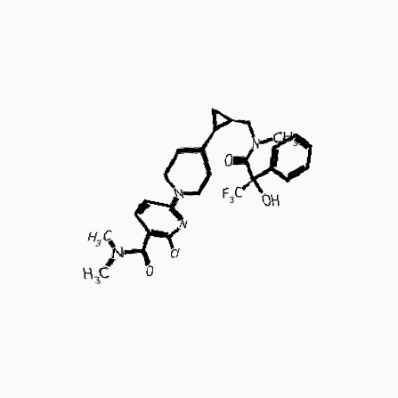 CN(C)C(=O)c1ccc(N2CCC([C@H]3C[C@H]3CN(C)C(=O)[C@@](O)(c3ccccc3)C(F)(F)F)CC2)nc1Cl